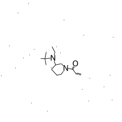 C=CC(=O)N1CCCC(N(CC)C(C)(C)C)C1